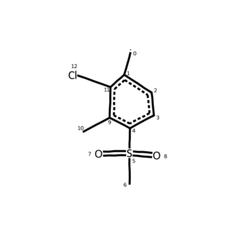 [CH2]c1ccc(S(C)(=O)=O)c(C)c1Cl